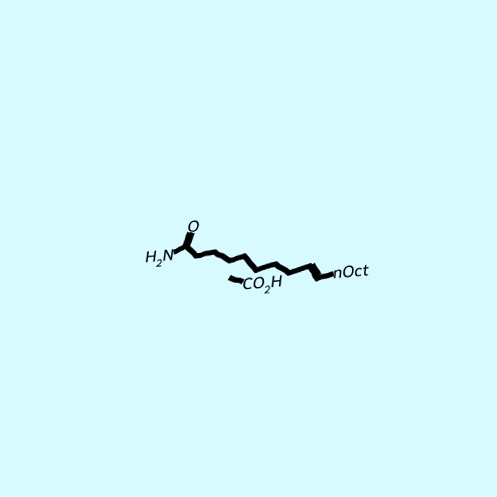 CC(=O)O.CCCCCCCCC=CCCCCCCCC(N)=O